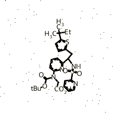 CCC(C)(C)c1ccc(CC(NS(=O)(=O)c2ccccn2)c2cccc(N(CC(=O)O)C(=O)OC(C)(C)C)n2)s1